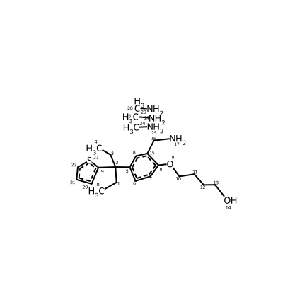 CCC(CC)(c1ccc(OCCCCO)c(CN)c1)c1cccs1.CN.CN.CN